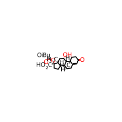 CC(C)COC(=O)O[C@]1(C(=O)O)CC[C@H]2[C@@H]3CCC4=CC(=O)CC[C@]4(C)[C@H]3[C@@H](O)C[C@@]21C